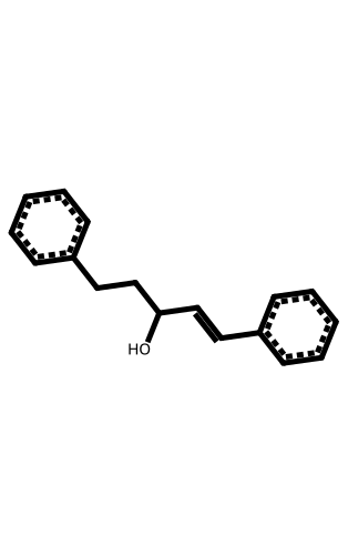 OC(/C=C/c1ccccc1)CCc1ccccc1